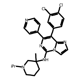 CC(C)N1CCCC(C)(Nc2nc(-c3ccncc3)c(-c3ccc(Cl)c(Cl)c3)c3nccn23)C1